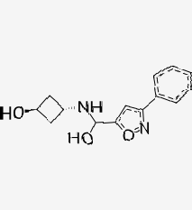 OC(N[C@H]1C[C@H](O)C1)c1cc(-c2ccccc2)no1